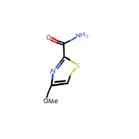 COc1csc(C(N)=O)n1